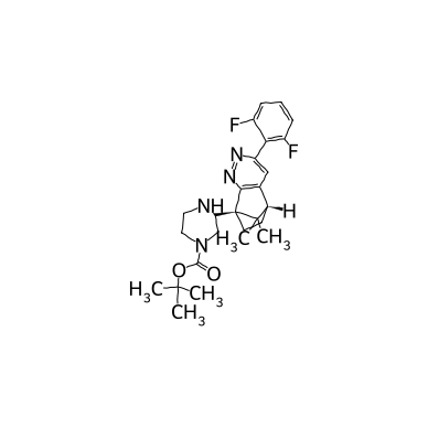 CC(C)(C)OC(=O)N1CCNC([C@@]23CC[C@@H](c4cc(-c5c(F)cccc5F)nnc42)C3(C)C)C1